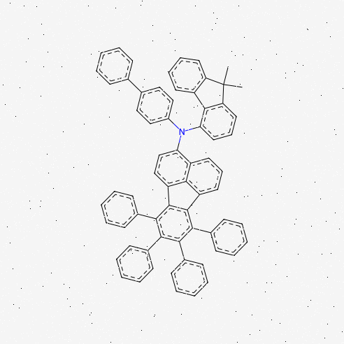 CC1(C)c2ccccc2-c2c(N(c3ccc(-c4ccccc4)cc3)c3ccc4c5c(cccc35)-c3c(-c5ccccc5)c(-c5ccccc5)c(-c5ccccc5)c(-c5ccccc5)c3-4)cccc21